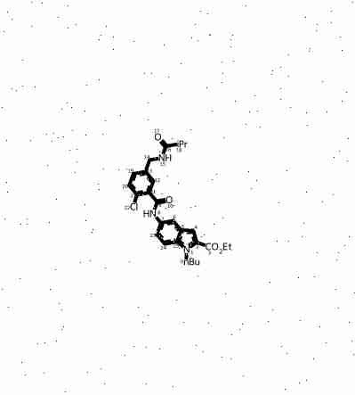 CCCCn1c(C(=O)OCC)cc2cc(NC(=O)c3cc(CNC(=O)C(C)C)ccc3Cl)ccc21